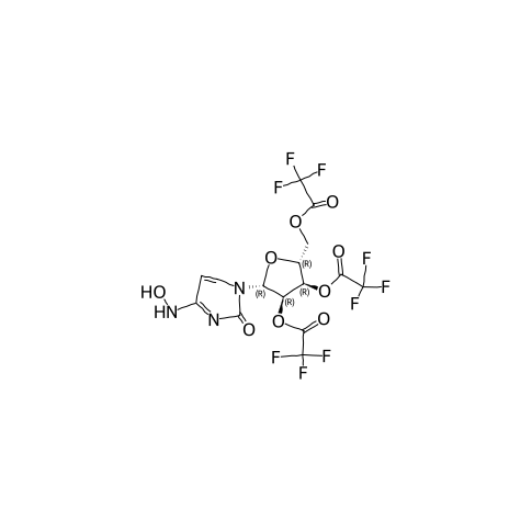 O=C(OC[C@H]1O[C@@H](n2ccc(NO)nc2=O)[C@H](OC(=O)C(F)(F)F)[C@@H]1OC(=O)C(F)(F)F)C(F)(F)F